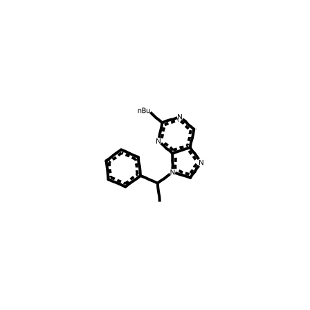 CCCCc1n[c]c2ncn(C(C)c3ccccc3)c2n1